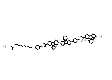 C=CC(C=C)OC(=O)CCCCCCCCCOc1ccc(-c2ncc(-c3ccc4c(c3)C3(c5cc(-c6ccc7c(c6)C6(c8cc(-c9ccc(-c%10ncc(-c%11ccc%12c(c%11)C%11(c%13cc(C)ccc%13-%12)C(CC)(CC)CC(CC)CC%11(CC)CC)cn%10)cc9)ccc8-7)C7(C)CCCC6(C)CCC7)ccc5-4)C4(C)CCC3(C)CC4)cn2)cc1